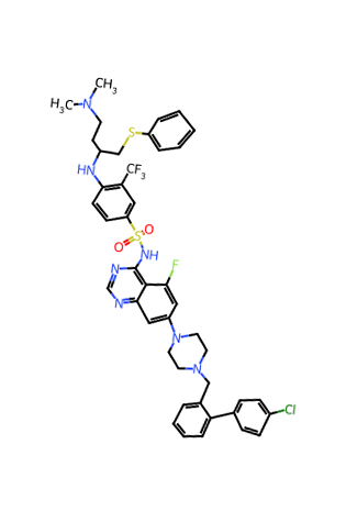 CN(C)CCC(CSc1ccccc1)Nc1ccc(S(=O)(=O)Nc2ncnc3cc(N4CCN(Cc5ccccc5-c5ccc(Cl)cc5)CC4)cc(F)c23)cc1C(F)(F)F